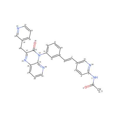 O=C(Nc1ccc(/C=C/c2cccc(-n3c(=O)c(Cc4cccnc4)nc4cccnc43)c2)cn1)C(F)(F)F